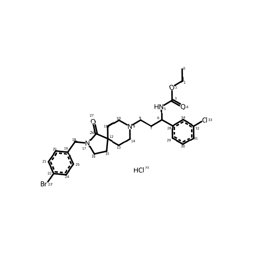 CCOC(=O)NC(CCN1CCC2(CC1)CCN(Cc1ccc(Br)cc1)C2=O)c1cccc(Cl)c1.Cl